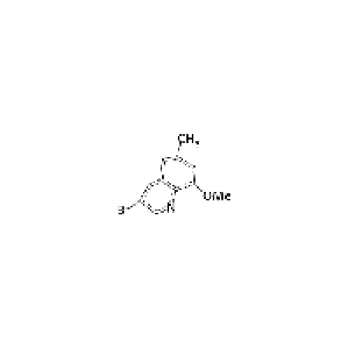 COc1cc(C)cc2cc(Br)cnc12